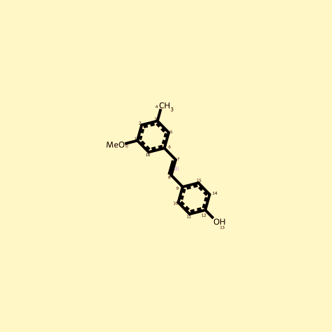 COc1cc(C)cc(/C=C/c2ccc(O)cc2)c1